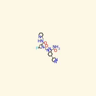 NC(=O)c1nn(CC(=O)N2C[C@H](F)C[C@H]2C(=O)NCc2ccccn2)c2ccc(-c3ccnnc3)cc12